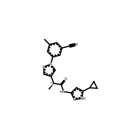 Cc1cc(C#N)cc(-n2cc([C@H](C)C(=O)Nc3cc(C4CC4)[nH]n3)cn2)c1